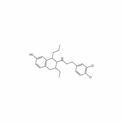 CCCC1c2cc(O)ccc2CC(CC)C1NCCc1ccc(Cl)c(Cl)c1